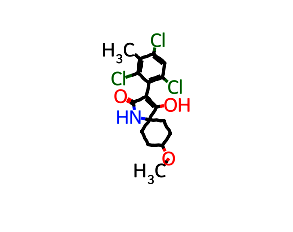 COC1CCC2(CC1)NC(=O)C(c1c(Cl)cc(Cl)c(C)c1Cl)=C2O